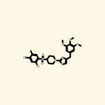 COc1cc(Cc2csc(N3CCC(S(=O)(=O)c4cc(C)c(Cl)cc4Cl)CC3)n2)cc(OC)c1OC